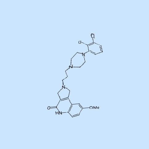 COc1ccc2[nH]c(=O)c3c(c2c1)CN(CCCN1CCN(c2cccc(Cl)c2Cl)CC1)C3